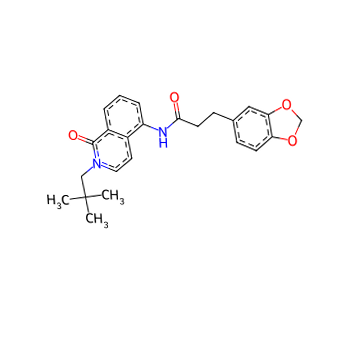 CC(C)(C)Cn1ccc2c(NC(=O)CCc3ccc4c(c3)OCO4)cccc2c1=O